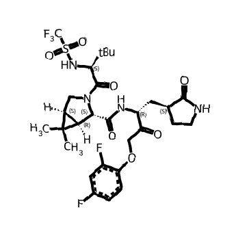 CC(C)(C)[C@H](NS(=O)(=O)C(F)(F)F)C(=O)N1C[C@H]2[C@@H]([C@H]1C(=O)N[C@H](C[C@@H]1CCNC1=O)C(=O)COc1ccc(F)cc1F)C2(C)C